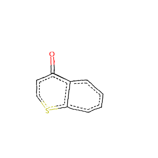 O=c1ccsc2ccccc12